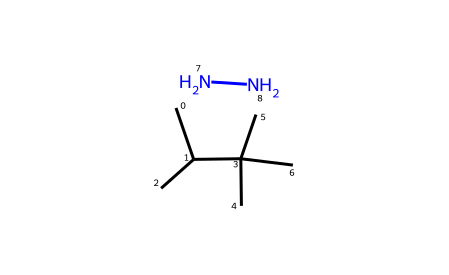 CC(C)C(C)(C)C.NN